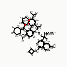 CC(C)(N=[N+]=[N-])c1cnc(OC2CCC2)c2cnc(Cl)cc12.COc1ccc(OC)c(P(C2CCCCC2)C2CCCCC2)c1-c1c(C(C)C)cc(C(C)C)cc1C(C)C